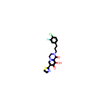 O=C1c2c(O)c(=O)c(-c3nccs3)cn2CCN1CCCc1ccc(Cl)c(F)c1